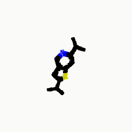 CC(C)c1cc2sc(C(C)C)cc2cn1